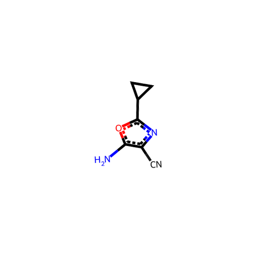 N#Cc1nc(C2CC2)oc1N